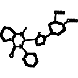 COc1ccc(-c2ccc(C3N(C)c4ccccc4C(=O)N3c3ccccc3)s2)cc1OC